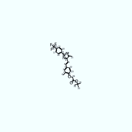 Cc1cc(/C=C/c2nn(-c3ccc(C(F)(F)F)cc3)nc2C)ccc1OCC(=O)OC(C)(C)C